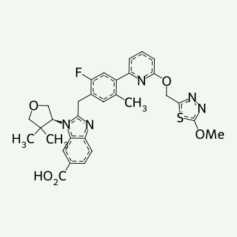 COc1nnc(COc2cccc(-c3cc(F)c(Cc4nc5ccc(C(=O)O)cc5n4[C@@H]4COCC4(C)C)cc3C)n2)s1